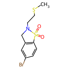 CSCCN1Cc2cc(Br)ccc2S1(=O)=O